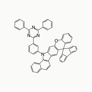 c1ccc(-c2nc(-c3ccccc3)nc(-c3cccc(-n4c5cc6c(cc5c5ccc7ccccc7c54)C4(c5ccccc5O6)c5ccccc5-c5ccccc54)c3)n2)cc1